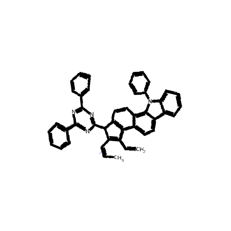 C=CC1=C(/C=C\C)C(c2nc(-c3ccccc3)nc(-c3ccccc3)n2)c2ccc3c(ccc4c5ccccc5n(-c5ccccc5)c34)c21